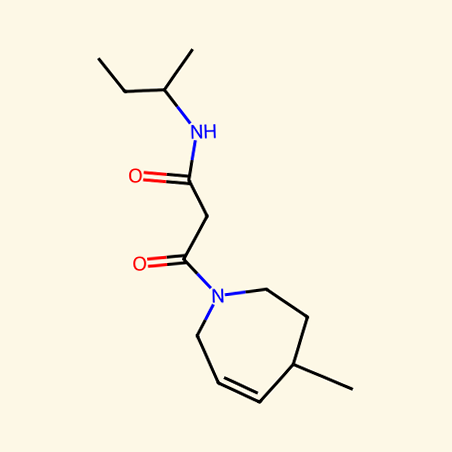 CCC(C)NC(=O)CC(=O)N1CC=CC(C)CC1